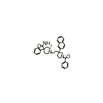 NC(=O)C1(c2ccccc2)CCN(CCC2(c3ccc4ccccc4c3)CCN(C(=O)c3ccccc3)C2)CC1